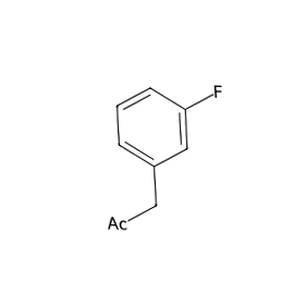 CC(=O)Cc1cccc(F)c1